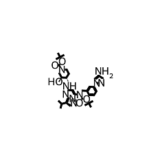 CC(C)c1cnn2c(N(Cc3cccc(-n4cc(N)cn4)c3)C(=O)OC(C)(C)C)cc(NC[C@H]3CCN(C(=O)OC(C)(C)C)C[C@@H]3O)nc12